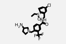 CC[S+]([O-])c1ccc(Cl)cc1CNC(=O)c1ccc(CN2CCC(N)C2)c(C(F)(F)F)c1